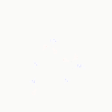 COC(=O)C1(N)CCN(Cc2ccc(C(=O)N(C)CCN3CCC(OC(=O)Nc4ccccc4-c4ccccc4)CC3)cc2)CC1